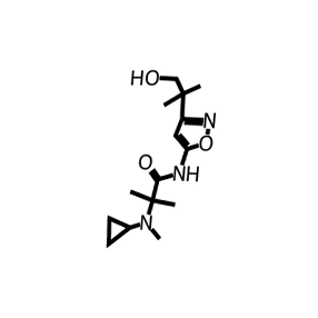 CN(C1CC1)C(C)(C)C(=O)Nc1cc(C(C)(C)CO)no1